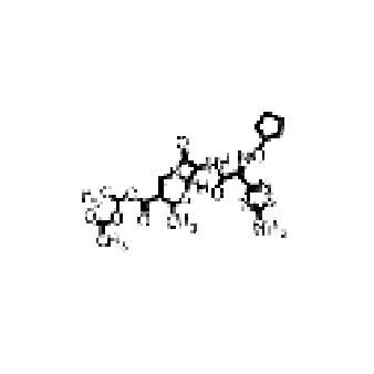 CC(=O)OC(C)OC(=O)C1=CN2C(=O)C(NC(=O)C(=NOC3CCCC3)c3nsc(N)n3)[C@H]2SC1C